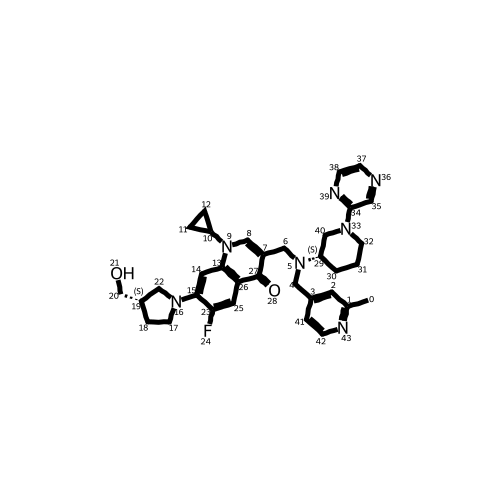 Cc1cc(CN(Cc2cn(C3CC3)c3cc(N4CC[C@H](CO)C4)c(F)cc3c2=O)[C@H]2CCCN(c3cnccn3)C2)ccn1